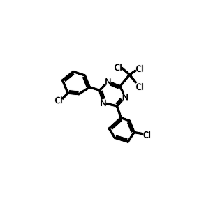 Clc1cccc(-c2nc(-c3cccc(Cl)c3)nc(C(Cl)(Cl)Cl)n2)c1